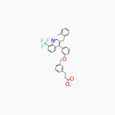 COC(=O)CCc1cccc(COc2cccc(-c3c(Cc4ccccc4C)cnc4c(C(F)(F)F)cccc34)c2)c1